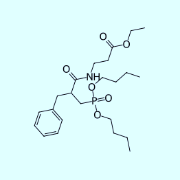 CCCCOP(=O)(CC(Cc1ccccc1)C(=O)NCCC(=O)OCC)OCCCC